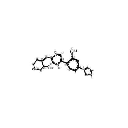 Oc1cc(-n2ccnc2)ccc1-c1cnc(/C=C2/CCNCC2F)cn1